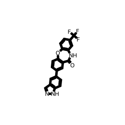 O=C1Nc2cc(C(F)(F)F)ccc2Oc2ccc(-c3ccc4[nH]ncc4c3)cc21